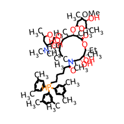 CC[C@H]1OC(=O)[C@H](C)[C@@H](O[C@H]2C[C@@](C)(OC)[C@@H](O)[C@H](C)O2)[C@H](C)[C@@H](O[C@@H]2O[C@H](C)C[C@H](N(C)C)[C@H]2O)[C@](C)(O)C[C@@H](C)CN(C(=O)CCCCC[PH](c2cc(C)cc(C)c2)(c2cc(C)cc(C)c2)c2cc(C)cc(C)c2)[C@H](C)[C@@H](O)[C@]1(C)O